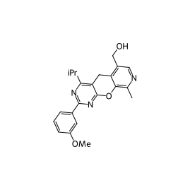 COc1cccc(-c2nc3c(c(C(C)C)n2)Cc2c(CO)cnc(C)c2O3)c1